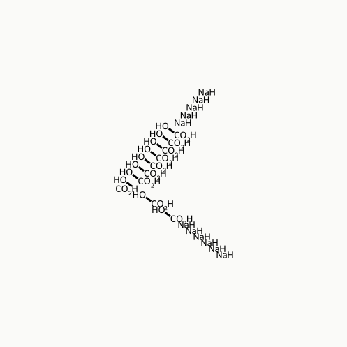 O=C(O)O.O=C(O)O.O=C(O)O.O=C(O)O.O=C(O)O.O=C(O)O.O=C(O)O.O=C(O)O.O=C(O)O.O=C(O)O.[NaH].[NaH].[NaH].[NaH].[NaH].[NaH].[NaH].[NaH].[NaH].[NaH].[NaH]